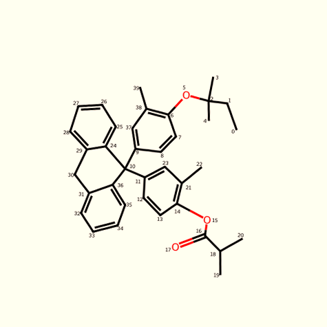 CCC(C)(C)Oc1ccc(C2(c3ccc(OC(=O)C(C)C)c(C)c3)c3ccccc3Cc3ccccc32)cc1C